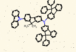 CC1(C)c2cc(N(c3ccc4c(c3)-c3ccccc3C4(c3ccccc3)c3ccccc3)c3ccc4c(c3)C(c3ccccc3)(c3ccccc3)c3ccccc3-4)ccc2-c2ccc(-n3c4ccccc4c4ccccc43)cc21